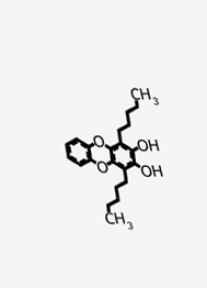 CCCCCc1c(O)c(O)c(CCCCC)c2c1Oc1ccccc1O2